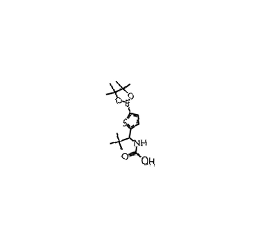 CC(C)(C)C(NC(=O)O)c1ccc(B2OC(C)(C)C(C)(C)O2)s1